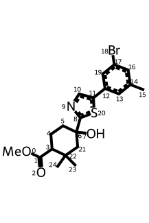 COC(=O)C1CCC(O)(c2ncc(-c3cc(C)cc(Br)c3)s2)CC1(C)C